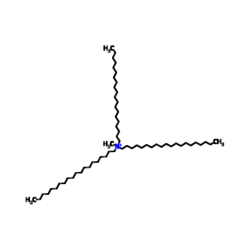 CCCCCCCCCCCCCCCCCCCC[N+](C)(CCCCCCCCCCCCCCCCCCCC)CCCCCCCCCCCCCCCCCCCC